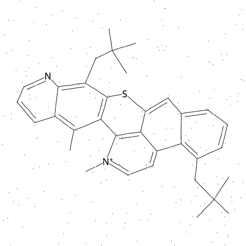 Cc1c2c(c(CC(C)(C)C)c3ncccc13)Sc1cc3cccc(CC(C)(C)C)c3c3cc[n+](C)c-2c13